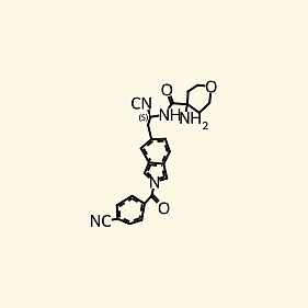 N#Cc1ccc(C(=O)n2cc3ccc(C[C@@H](C#N)NC(=O)C4(N)CCOCC4)cc3c2)cc1